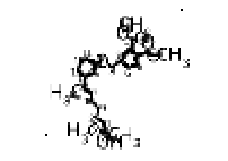 COC(=O)c1ccc(COc2cccc(C(C)=CCCCCC(C)(C)O)c2)cc1C(=O)OC